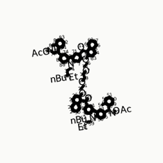 CCCCC(CC)CCn1c2ccc(C(=O)c3c(OCCOCCOCCOc4ccc5ccccc5c4C(=O)c4ccc5c(c4)c4cc(/C(=N/OC(C)=O)c6ccccc6C)ccc4n5CC(CC)CCCC)ccc4ccccc34)cc2c2cc(/C(=C/NOC(C)=O)c3ccccc3C)ccc21